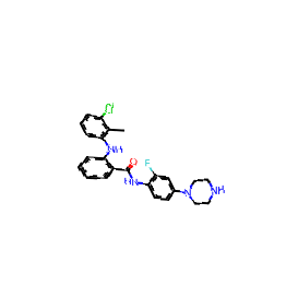 Cc1c(Cl)cccc1Nc1ccccc1C(=O)Nc1ccc(N2CCNCC2)cc1F